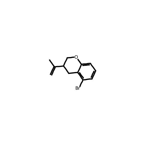 C=C(C)C1COc2cccc(Br)c2C1